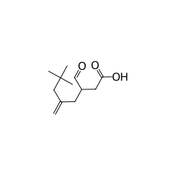 C=C(CC(C=O)CC(=O)O)CC(C)(C)C